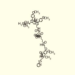 COc1ccc(C2=[N+]3C(=Cc4c(CCC[N+](C)(C)C)cc(-c5ccc(OC)cc5)n4[B-]3(F)F)C(CCC(=O)NC(CS(=O)(=O)O)C(=O)NCCCCC(=O)NCCOc3cc([N+](=O)[O-])c(C(C)NCCSSc4ccccn4)cc3OC)=C2)cc1